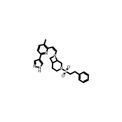 Cc1ccc(-c2cn[nH]c2)nc1/C=C\N1CC2CCN(S(=O)(=O)CCc3ccccc3)CC21